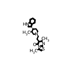 Cc1nc2scc(C)n2c(=O)c1CCN1CC[C@@H](c2c[nH]c3ccccc23)[C@@H](C)C1